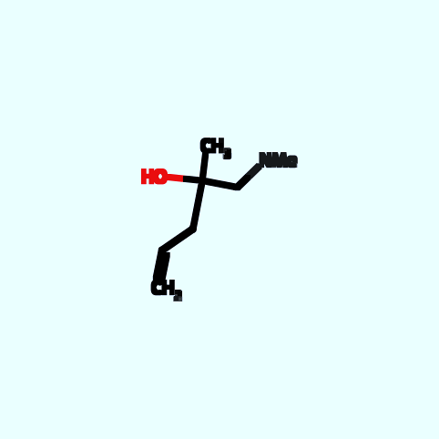 C=CCC(C)(O)CNC